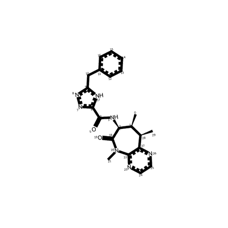 C[C@@H]1[C@H](NC(=O)c2nnc(Cc3ccccc3)[nH]2)C(=O)N(C)c2nccnc2[C@@H]1C